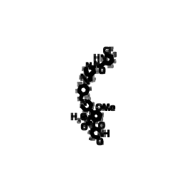 COc1ccc2c(c1C1CCN(CC3CCC(n4cc5cc(NC(=O)c6cccc(C(F)(F)F)n6)ncc5n4)CC3)CC1)n(C)c(=O)n2[C@@H]1CCC(=O)NC1=O